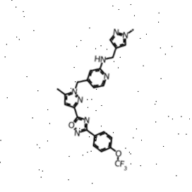 Cc1cc(-c2nc(-c3ccc(OC(F)(F)F)cc3)no2)nn1Cc1ccnc(NCc2cnn(C)c2)c1